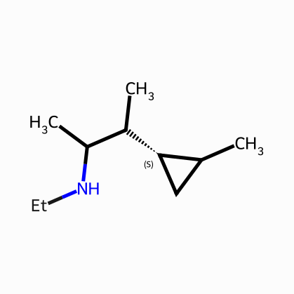 CCNC(C)C(C)[C@H]1CC1C